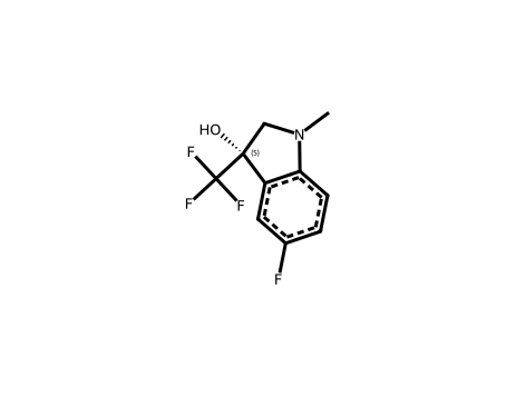 CN1C[C@](O)(C(F)(F)F)c2cc(F)ccc21